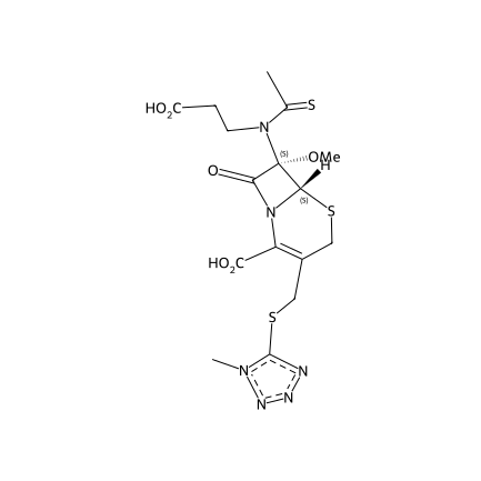 CO[C@@]1(N(CCC(=O)O)C(C)=S)C(=O)N2C(C(=O)O)=C(CSc3nnnn3C)CS[C@H]21